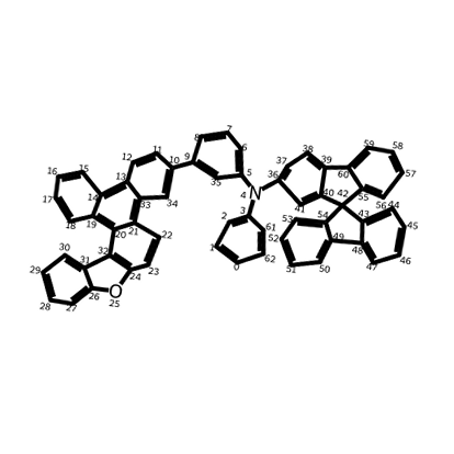 c1ccc(N(c2cccc(-c3ccc4c5ccccc5c5c(ccc6oc7ccccc7c65)c4c3)c2)c2ccc3c(c2)C2(c4ccccc4-c4ccccc42)c2ccccc2-3)cc1